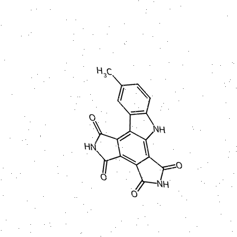 Cc1ccc2[nH]c3c4c(=O)[nH]c(=O)c4c4c(=O)[nH]c(=O)c4c3c2c1